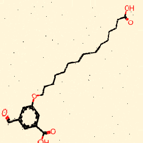 O=[C]c1cc(OCCCCCCCCCCCCCCC(=O)O)cc(C(=O)O)c1